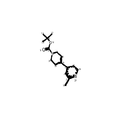 Cc1cc(C2CCN(C(=O)OC(C)(C)C)CC2)ccn1